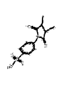 CC1C(=O)N(c2ccc(S(=O)(=O)O)cc2)C(=O)C1C